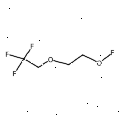 FOCCOCC(F)(F)F